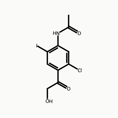 CC(=O)Nc1cc(Cl)c(C(=O)CO)cc1I